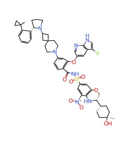 CC1(c2ccccc2[C@@H]2CCCN2C2CC3(CCN(c4ccc(C(=O)NS(=O)(=O)c5cc6c(c([N+](=O)[O-])c5)N[C@@H]([C@H]5CC[C@](C)(O)CC5)CO6)c(Oc5cnc6[nH]cc(F)c6c5)c4)CC3)C2)CC1